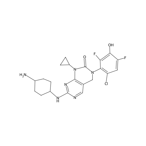 NC1CCC(Nc2ncc3c(n2)N(C2CC2)C(=O)N(c2c(Cl)cc(F)c(O)c2F)C3)CC1